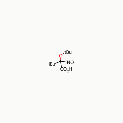 CCC(C)C(N=O)(OC(C)(C)C)C(=O)O